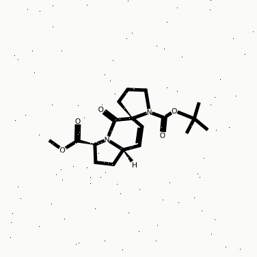 COC(=O)[C@@H]1CC[C@H]2C=C[C@]3(CCCN3C(=O)OC(C)(C)C)C(=O)N21